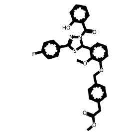 COC(=O)Cc1ccc(COc2cccc(C3SC(c4ccc(F)cc4)=NN3C(=O)c3ccccc3O)c2OC)cc1